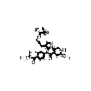 C#CCc1cnn2c3c(c(=O)n(-c4ccc(C(=O)NC)cc4)c12)CC(C)NC3.O=C(O)C(F)(F)F